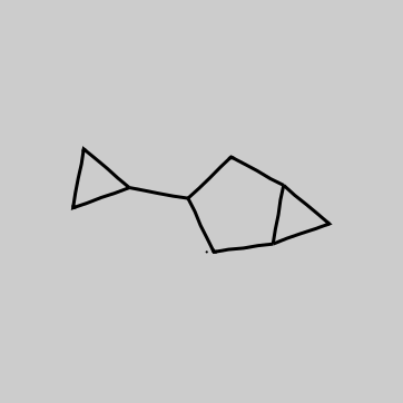 [CH]1C(C2CC2)CC2CC12